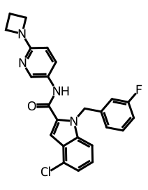 O=C(Nc1ccc(N2CCC2)nc1)c1cc2c(Cl)cccc2n1Cc1cccc(F)c1